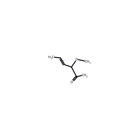 C/C=C/C(OC)C(C)=O